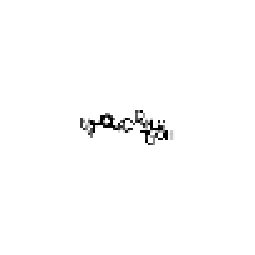 O=C(O)c1nn(C(=O)N2CCN(Cc3cccc(-c4cncnc4)c3)CC2)cc1Cl